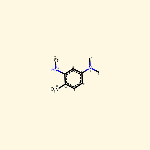 CCNc1cc(N(C)C)ccc1[N+](=O)[O-]